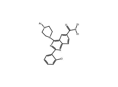 CCN(CC)C(=O)c1ccc2nc(-c3ccccc3Cl)nc(N3CCN(C(C)=O)CC3)c2c1